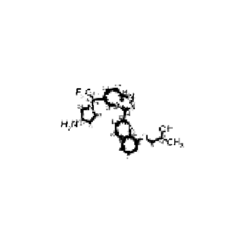 C[C@H](O)COc1cccc2ccc(-c3nnc4ccc([C@@H](N5CC[C@H](N)C5)C(F)(F)F)cn34)nc12